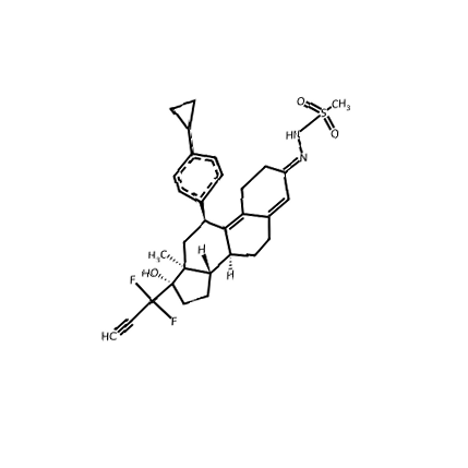 C#CC(F)(F)[C@]1(O)CC[C@H]2[C@@H]3CCC4=C/C(=N/NS(C)(=O)=O)CCC4=C3[C@H](c3ccc(C4CC4)cc3)C[C@@]21C